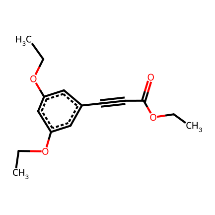 CCOC(=O)C#Cc1cc(OCC)cc(OCC)c1